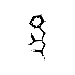 CC(=O)N(CC(=O)O)Cc1ccccc1